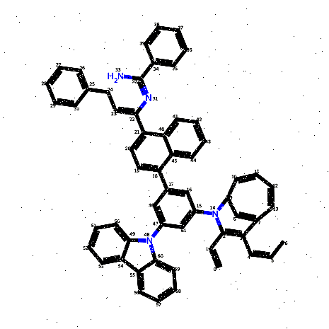 C=CC1=C(/C=C\C)C2=CC(C=CC=C2)N1c1cc(-c2ccc(C(=C/Cc3ccccc3)/N=C(\N)c3ccccc3)c3ccccc23)cc(-n2c3ccccc3c3ccccc32)c1